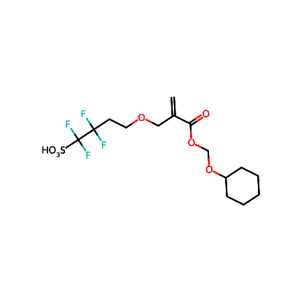 C=C(COCCC(F)(F)C(F)(F)S(=O)(=O)O)C(=O)OCOC1CCCCC1